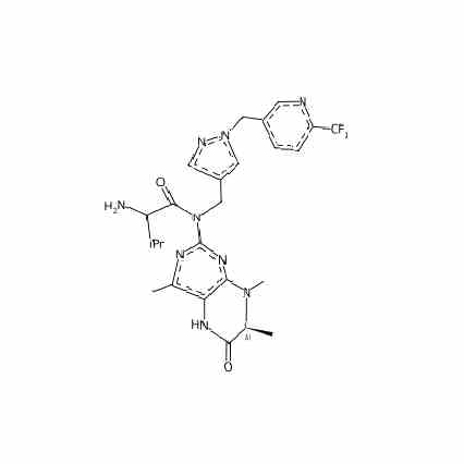 Cc1nc(N(Cc2cnn(Cc3ccc(C(F)(F)F)nc3)c2)C(=O)C(N)C(C)C)nc2c1NC(=O)[C@H](C)N2C